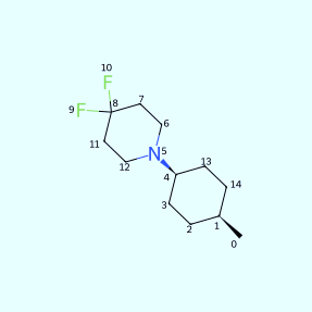 C[C@H]1CC[C@@H](N2CCC(F)(F)CC2)CC1